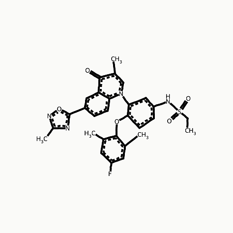 CCS(=O)(=O)Nc1ccc(Oc2c(C)cc(F)cc2C)c(-n2cc(C)c(=O)c3cc(-c4nc(C)no4)ccc32)c1